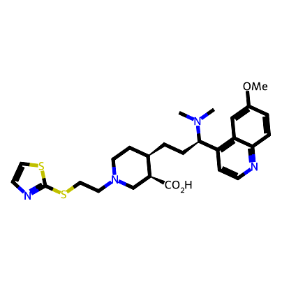 COc1ccc2nccc([C@@H](CC[C@@H]3CCN(CCSc4nccs4)C[C@@H]3C(=O)O)N(C)C)c2c1